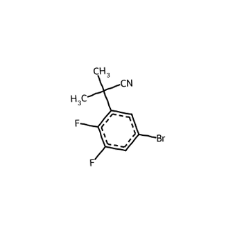 CC(C)(C#N)c1cc(Br)cc(F)c1F